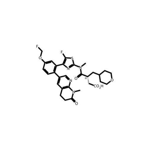 CN(C(=O)[C@@H](CC(=O)O)CC1CCOCC1)c1nc(-c2cc(OCF)ccc2-c2cnc3c(c2)CCC(=O)N3C)c(F)s1